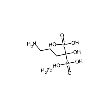 NCCCC(O)(P(=O)(O)O)P(=O)(O)O.[PbH2]